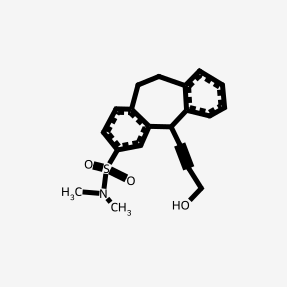 CN(C)S(=O)(=O)c1ccc2c(c1)C(C#CCO)c1ccccc1CC2